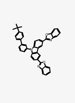 CC(C)(C)c1ccc(-c2cccc(-n3c4ccc(-c5nc6ccccc6o5)cc4c4cc(-c5nc6ccccc6o5)ccc43)c2)cc1